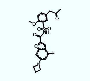 COc1ccc(CC(C)=O)cc1S(=O)(=O)NC(=O)c1cc2c(F)cc(N3CCC3)cc2o1